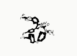 CN(C(=O)N1CC(c2ccc(F)cc2)=C(c2ccc3c(c2)OC(F)(F)O3)N1)c1ccc(Oc2ccc(Cl)cc2)cc1